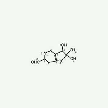 CC(C)(O)C(O)C1=CCC(C=O)NC1